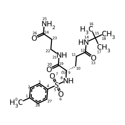 Cc1ccc(S(=O)(=O)N[C@@H](CCC(=O)NC(C)(C)C)C(=O)NCCC(N)=O)cc1